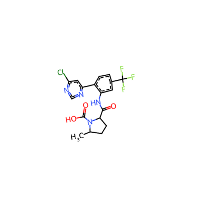 CC1CCC(C(=O)Nc2cc(C(F)(F)F)ccc2-c2cc(Cl)ncn2)N1C(=O)O